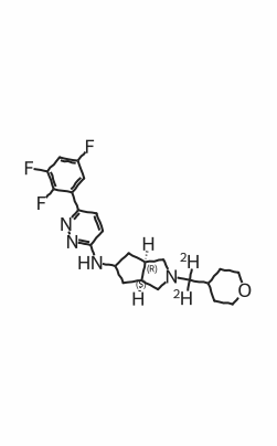 [2H]C([2H])(C1CCOCC1)N1C[C@H]2CC(Nc3ccc(-c4cc(F)cc(F)c4F)nn3)C[C@H]2C1